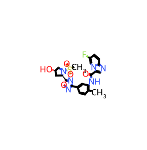 Cc1ccc(-c2noc([C@H]3C[C@@H](O)CN3S(C)(=O)=O)n2)cc1NC(=O)c1cnc2ccc(F)cn12